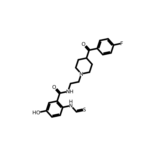 O=C(NCCN1CCC(C(=O)c2ccc(F)cc2)CC1)c1cc(O)ccc1NC=S